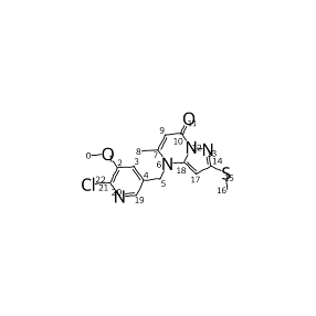 COc1cc(Cn2c(C)cc(=O)n3nc(SC)cc23)cnc1Cl